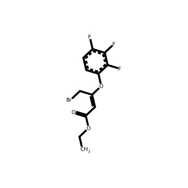 CCOC(=O)C=C(CBr)Oc1ccc(F)c(F)c1F